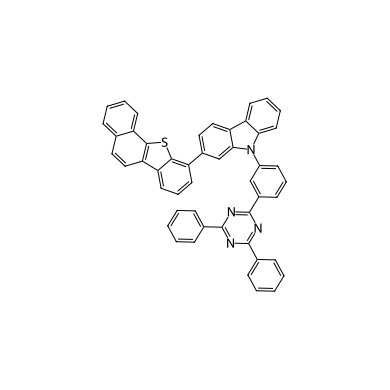 c1ccc(-c2nc(-c3ccccc3)nc(-c3cccc(-n4c5ccccc5c5ccc(-c6cccc7c6sc6c8ccccc8ccc76)cc54)c3)n2)cc1